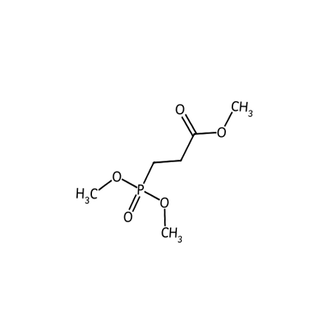 COC(=O)CCP(=O)(OC)OC